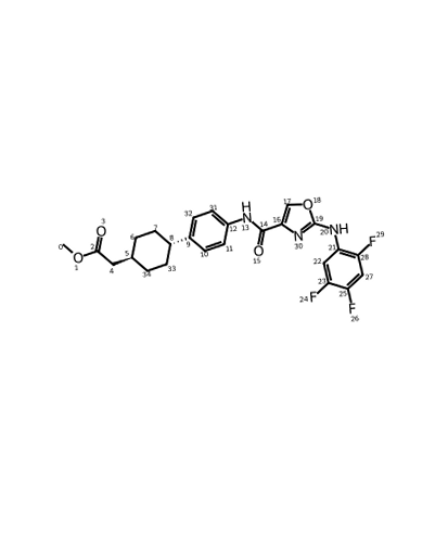 COC(=O)C[C@H]1CC[C@H](c2ccc(NC(=O)c3coc(Nc4cc(F)c(F)cc4F)n3)cc2)CC1